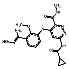 CNC(=O)c1nnc(NC(=O)C2CC2)cc1Nc1cccc(/C(N)=N/O)c1OC